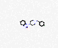 O=C(O)c1ccc2c(c1)[nH]c(=O)n2C1CCN(Cc2ccc(Cl)cc2Cl)CC1